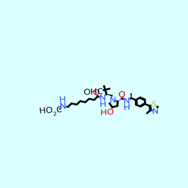 Cc1ncsc1-c1ccc([C@H](C)NC(=O)[C@@H]2C[C@@H](O)CN2C[C@@H](NC(=O)CCCCCCCNC(=O)O)C(C)(C)C=O)cc1